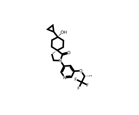 C[C@@H](Oc1cncc(N2CC[C@]3(CC[C@](O)(C4CC4)CC3)C2=O)c1)C(F)(F)F